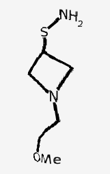 COCCN1CC(SN)C1